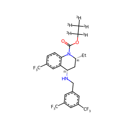 [2H]C([2H])([2H])C([2H])([2H])OC(=O)N1c2ccc(C(F)(F)F)cc2[C@@H](NCc2cc(C(F)(F)F)cc(C(F)(F)F)c2)C[C@H]1CC